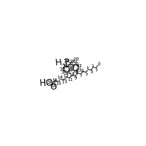 CCCCCCCCCCCCCCCCCC(=O)O.Cc1ccccc1C(C)(P)c1ccccc1